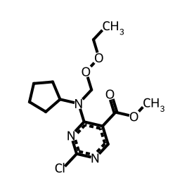 CCOOCN(c1nc(Cl)ncc1C(=O)OC)C1CCCC1